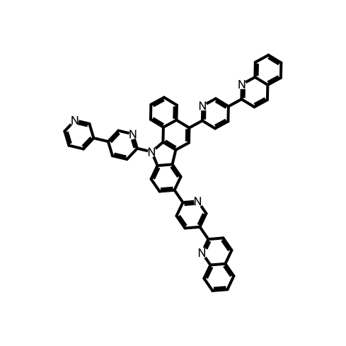 c1cncc(-c2ccc(-n3c4ccc(-c5ccc(-c6ccc7ccccc7n6)cn5)cc4c4cc(-c5ccc(-c6ccc7ccccc7n6)cn5)c5ccccc5c43)nc2)c1